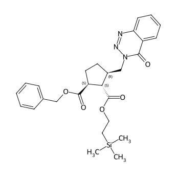 C[Si](C)(C)CCOC(=O)[C@H]1[C@H](Cn2nnc3ccccc3c2=O)CC[C@@H]1C(=O)OCc1ccccc1